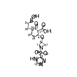 O=C(O)c1c(OC2CN(S(=O)(=O)c3nnc[nH]3)C2)ccc2c1OB(O)CC2